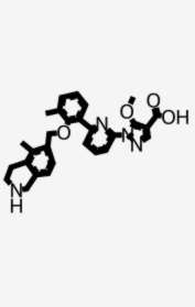 COc1c(C(=O)O)cnn1-c1cccc(-c2cccc(C)c2OCc2ccc3c(c2C)CCNC3)n1